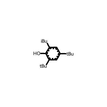 CCC(C)c1cc(C(C)(C)C)cc(C(C)(C)C)c1O